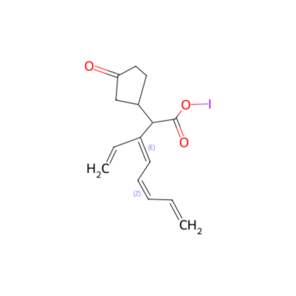 C=C/C=C\C=C(/C=C)C(C(=O)OI)C1CCC(=O)C1